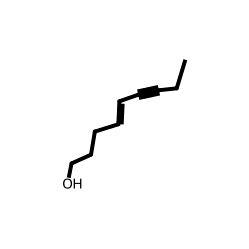 CCC#CC=CCCCO